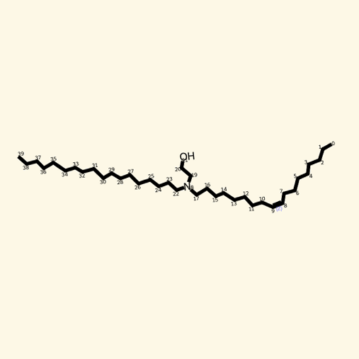 CCCCCCCC/C=C\CCCCCCCCN(CCO)CCCCCCCCCCCCCCCCCC